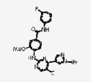 COc1cc(C(=O)Nc2cccc(F)c2)ccc1Nc1ncc(Cl)c(-c2cnn(C(C)C)c2)n1